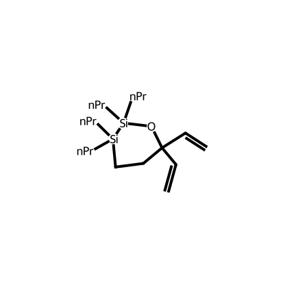 C=CC1(C=C)CC[Si](CCC)(CCC)[Si](CCC)(CCC)O1